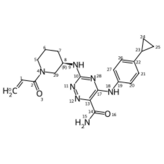 C=CC(=O)N1CCC[C@@H](Nc2nnc(C(N)=O)c(Nc3ccc(C4CC4)cc3)n2)C1